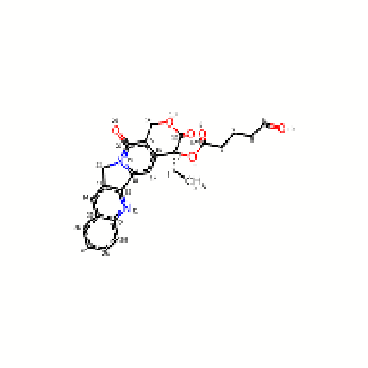 CC[C@@]1(OC(=O)CCCC=O)C(=O)OCc2c1cc1n(c2=O)Cc2cc3ccccc3nc2-1